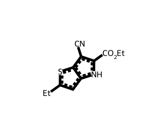 CCOC(=O)c1[nH]c2cc(CC)sc2c1C#N